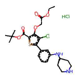 CCOC(=O)COc1c(C(=O)OC(C)(C)C)sc(-c2cccc(NC3CCNCC3)c2)c1Cl.Cl